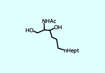 CCCCCCCCCCC(O)C(CO)NC(C)=O